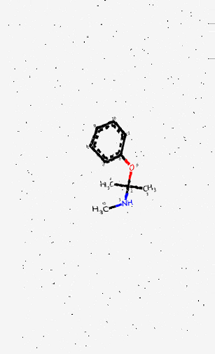 CNC(C)(C)Oc1ccccc1